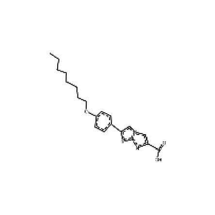 CCCCCCCCOc1ccc(-c2cn3cc(C(=O)O)nc3s2)cc1